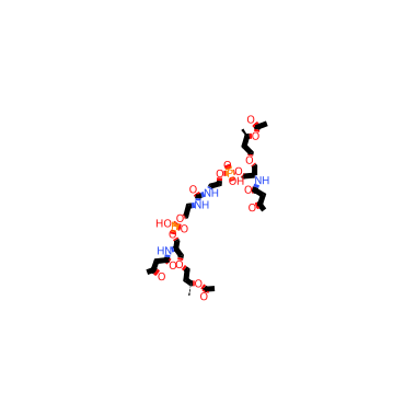 CC(=O)CC(=O)NC(COCC[C@@H](C)OC(C)=O)COP(=O)(O)OCCNC(=O)NCCOP(=O)(O)OCC(COCC[C@@H](C)OC(C)=O)NC(=O)CC(C)=O